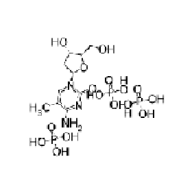 Cc1cn([C@H]2C[C@H](O)[C@@H](CO)O2)c(=O)nc1N.O=P(O)(O)O.O=P(O)(O)O.O=P(O)(O)O